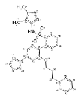 Cc1noc(NS(=O)(=O)c2ccccc2-c2ccc(-c3ncco3)cc2OCCCc2ccccc2)c1C